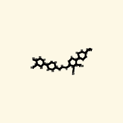 CCCC1CCC(C2CCC(CCCC3CCC(C4CCC(C)C(F)C4)CC3)C(F)C2F)CC1